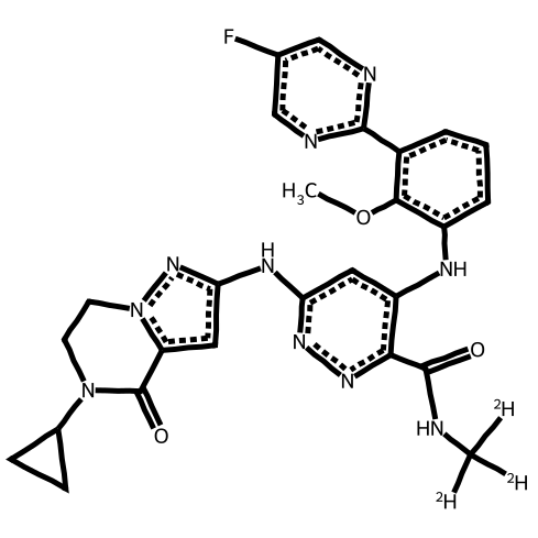 [2H]C([2H])([2H])NC(=O)c1nnc(Nc2cc3n(n2)CCN(C2CC2)C3=O)cc1Nc1cccc(-c2ncc(F)cn2)c1OC